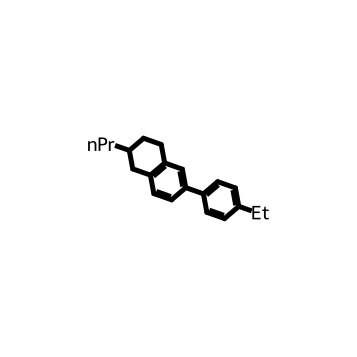 CCCC1CCc2cc(-c3ccc(CC)cc3)ccc2C1